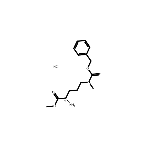 COC(=O)[C@@H](N)CCCN(C)C(=O)OCc1ccccc1.Cl